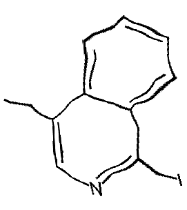 Cc1cnc(I)c2ccccc12